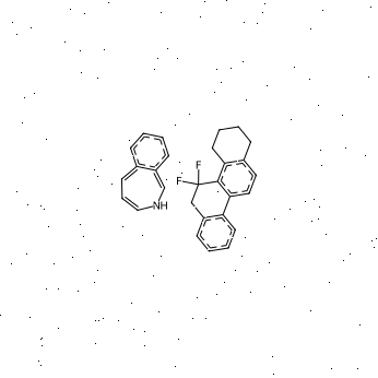 C1=CNC=c2ccccc2=C1.FC1(F)Cc2ccccc2-c2ccc3c(c21)CCCC3